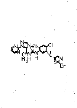 C[C@H](NC(=O)Nc1cc(OCc2cnc(Br)s2)c(Cl)cc1Cl)c1ncnn1-c1ncccn1